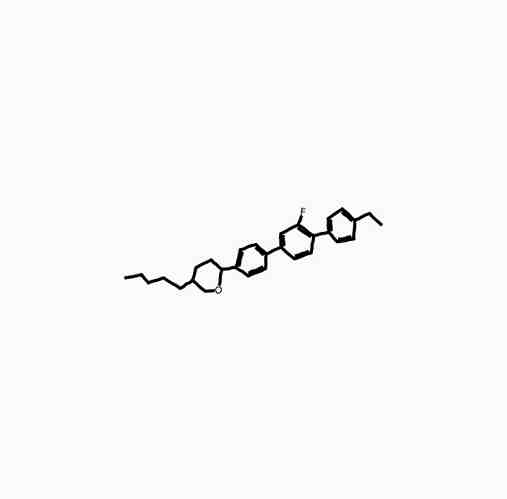 CCCCCC1CCC(c2ccc(-c3ccc(-c4ccc(CC)cc4)c(F)c3)cc2)OC1